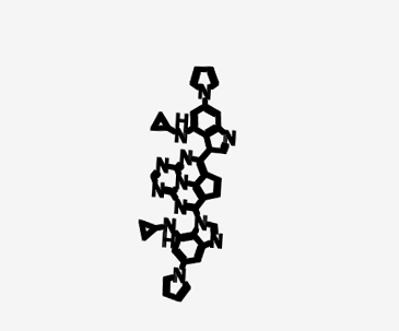 C1=Nc2cc(-n3cccc3)cc(NC3CC3)c2C1c1nc2ncnc3nc(-n4cnc5cc(-n6cccc6)cc(NC6CC6)c54)c4ccc1c4n23